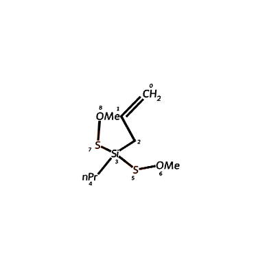 C=CC[Si](CCC)(SOC)SOC